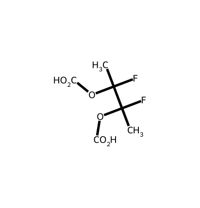 CC(F)(OC(=O)O)C(C)(F)OC(=O)O